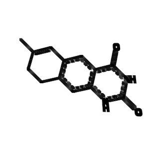 CC1=Cc2cc3c(=O)[nH]c(=O)[nH]c3cc2CC1